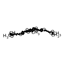 C=C(C)C(=O)OCCCCCCOc1ccc(C=CC(=O)Oc2ccc3c(c2)C(C)c2cc(OC(=O)C=Cc4ccc(OCCCCCCOC(=O)C(=C)C)cc4)ccc2-3)cc1